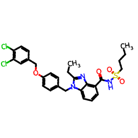 CCCCS(=O)(=O)NC(=O)c1cccc2c1nc(CC)n2Cc1ccc(OCc2ccc(Cl)c(Cl)c2)cc1